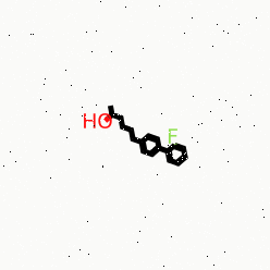 CC(O)CCCCc1ccc(-c2ccccc2F)cc1